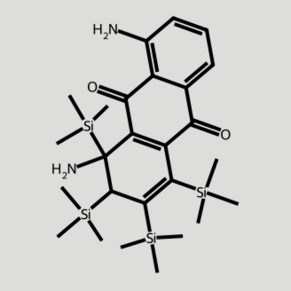 C[Si](C)(C)C1=C([Si](C)(C)C)C([Si](C)(C)C)C(N)([Si](C)(C)C)C2=C1C(=O)c1cccc(N)c1C2=O